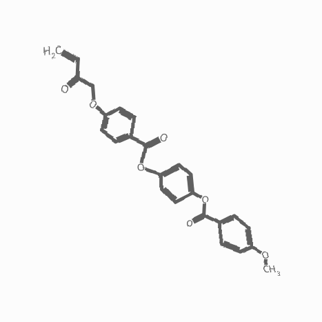 C=CC(=O)COc1ccc(C(=O)Oc2ccc(OC(=O)c3ccc(OC)cc3)cc2)cc1